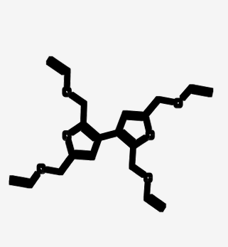 C=COCc1cc(-c2cc(COC=C)oc2COC=C)c(COC=C)o1